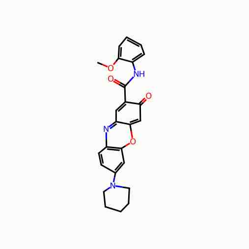 COc1ccccc1NC(=O)c1cc2nc3ccc(N4CCCCC4)cc3oc-2cc1=O